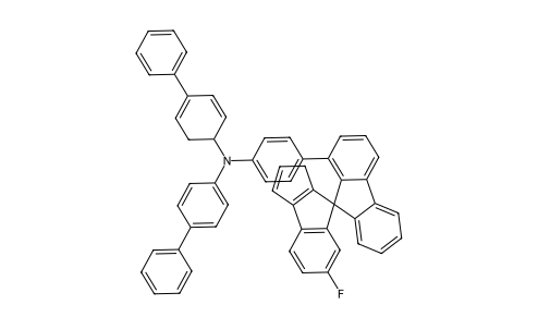 Fc1ccc2c(c1)C1(C3=C2C=CC3)c2ccccc2-c2cccc(-c3ccc(N(c4ccc(-c5ccccc5)cc4)C4C=CC(c5ccccc5)=CC4)cc3)c21